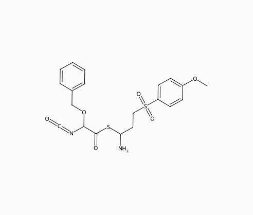 COc1ccc(S(=O)(=O)CCC(N)SC(=O)C(N=C=O)OCc2ccccc2)cc1